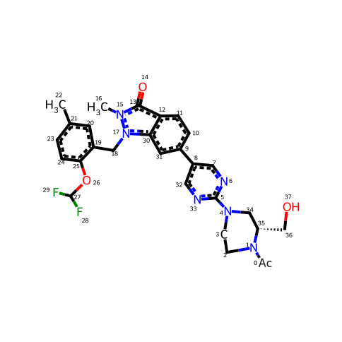 CC(=O)N1CCN(c2ncc(-c3ccc4c(=O)n(C)n(Cc5cc(C)ccc5OC(F)F)c4c3)cn2)C[C@@H]1CO